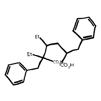 CCC(CC(Cc1ccccc1)C(=O)O)C(CC)(Cc1ccccc1)C(=O)O